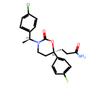 C[C@@H](c1ccc(Cl)cc1)N1CC[C@](CCC(N)=O)(c2ccc(F)cc2)OC1=O